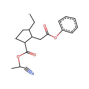 [CH2]CC1C[CH]C(C(=O)OC(C)C#N)C1CC(=O)Oc1ccccc1